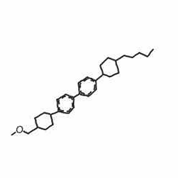 CCCCCC1CCC(c2ccc(-c3ccc(C4CCC(COC)CC4)cc3)cc2)CC1